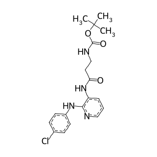 CC(C)(C)OC(=O)NCCC(=O)Nc1cccnc1Nc1ccc(Cl)cc1